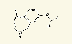 CC1CCNCc2nc(OC(F)F)ccc21